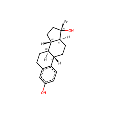 CC(C)[C@]1(O)CC[C@H]2[C@@H]3CCc4cc(O)ccc4[C@H]3CC[C@@H]21